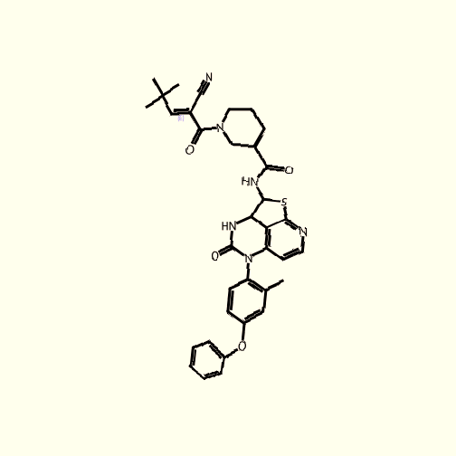 Cc1cc(Oc2ccccc2)ccc1N1C(=O)NC2c3c1ccnc3SC2NC(=O)C1CCCN(C(=O)/C(C#N)=C/C(C)(C)C)C1